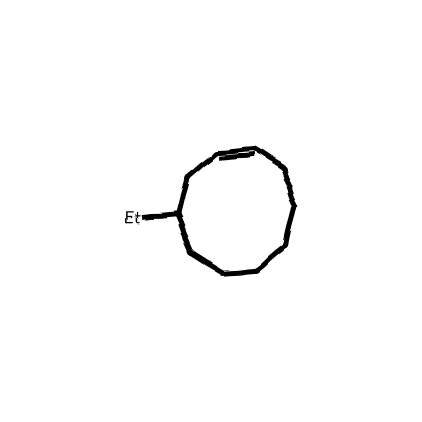 [CH2]CC1CC=CCCCCCC1